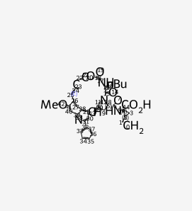 C=C[C@@H]1C[C@]1(NC(=O)[C@@H]1C[C@@H]2CN1C(=O)[C@H](CCCC)NC(=O)OCCC/C=C/c1cc3c(cc(-c4ccccc4)nc3cc1OC)O2)C(=O)O